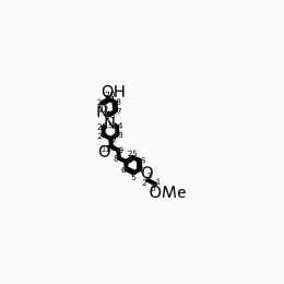 COCCOc1ccc(CCC(=O)C2CCN(c3ccc(O)cn3)CC2)cc1